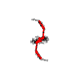 CCCCCCCCCCC(Oc1ccccc1-c1ccccc1OC(CCCCCCCCCC)[Si](C)(O[Si](C)(C)C)O[Si](C)(CCCCCCCCCCCOc1ccc(C(=O)Oc2ccc(C(=O)OC3CCC(CCCCC)CC3)cc2)cc1)O[Si](C)(C)C)[Si](C)(O[Si](C)(C)C)O[Si](C)(CCCCCCCCCCCOc1ccc(C(=O)Oc2ccc(C(=O)OC3CCC(CCCCC)CC3)cc2)cc1)O[Si](C)(C)C